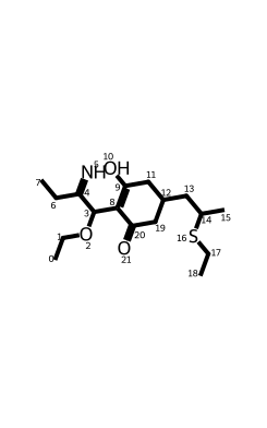 CCOC(C(=N)CC)C1=C(O)CC(CC(C)SCC)CC1=O